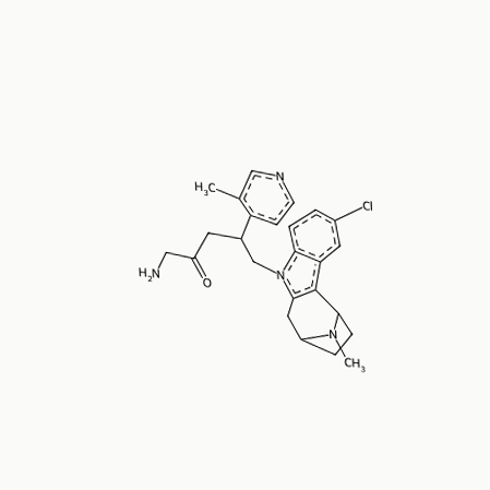 Cc1cnccc1C(CC(=O)CN)Cn1c2c(c3cc(Cl)ccc31)C1CCC(C2)N1C